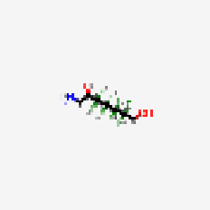 NCC(=O)C(F)(F)C(F)(F)C(F)(F)C(F)(F)CO